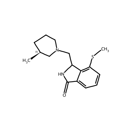 CSc1cccc2c1C(CN1CCC[C@H](C)C1)NC2=O